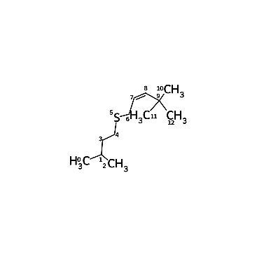 CC(C)CCSC/C=C\C(C)(C)C